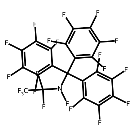 Fc1c(F)c(F)c(C(c2c(F)c(F)c(F)c(F)c2F)(c2c(F)c(F)c(F)c(F)c2F)N(F)C(F)(F)C(F)(F)F)c(F)c1F